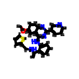 C=C(NCc1cccs1)c1ccccc1Nc1nc(-c2cccnc2)nc2ccc(OC)cc12